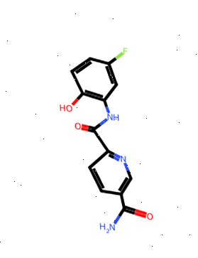 NC(=O)c1ccc(C(=O)Nc2cc(F)ccc2O)nc1